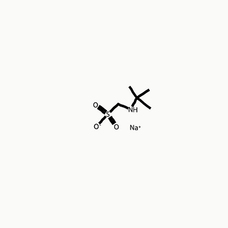 CC(C)(C)NCS(=O)(=O)[O-].[Na+]